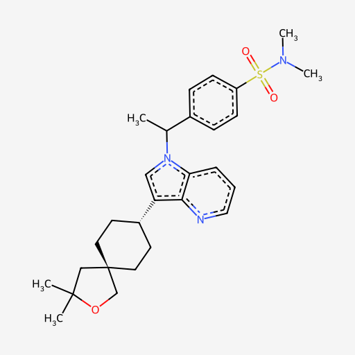 CC(c1ccc(S(=O)(=O)N(C)C)cc1)n1cc([C@H]2CC[C@@]3(CC2)COC(C)(C)C3)c2ncccc21